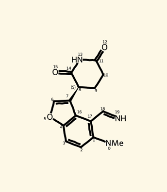 CNc1ccc2occ([C@@H]3CCC(=O)NC3=O)c2c1C=N